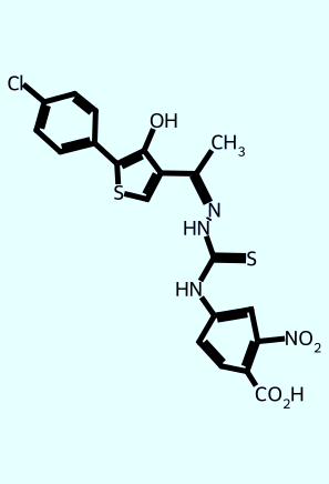 CC(=NNC(=S)Nc1ccc(C(=O)O)c([N+](=O)[O-])c1)c1csc(-c2ccc(Cl)cc2)c1O